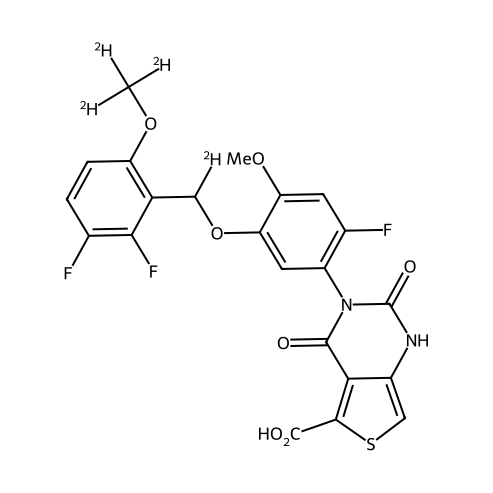 [2H]C(Oc1cc(-n2c(=O)[nH]c3csc(C(=O)O)c3c2=O)c(F)cc1OC)c1c(OC([2H])([2H])[2H])ccc(F)c1F